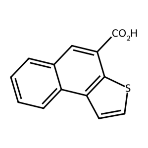 O=C(O)c1cc2ccccc2c2ccsc12